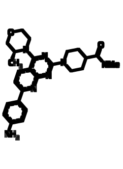 CNC(=O)C1CCN(c2nc(N3CCOC[C@@H]3C)c3ccc(-c4ccc(N)cc4)nc3n2)CC1